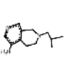 C[C](C)CN1CCc2c(N)cncc2C1